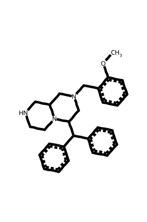 COc1ccccc1CN1CC2CNCCN2C(C(c2ccccc2)c2ccccc2)C1